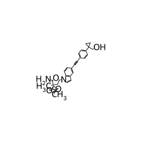 CC(CCn1ccc2cc(C#Cc3ccc(C4(CO)CC4)cc3)ccc21)(C(N)=O)S(C)(=O)=O